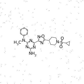 CN(c1ccccc1)c1nc(N)nc(-c2noc(C3CCN(S(=O)(=O)C4CC4)CC3)n2)n1